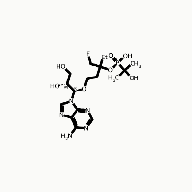 CCC(CF)(CCO[C@H]([C@H](O)CO)n1cnc2c(N)ncnc21)OP(=O)(O)C(C)(C)O